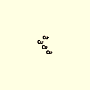 [Cu].[Cu].[Cu].[Cu]